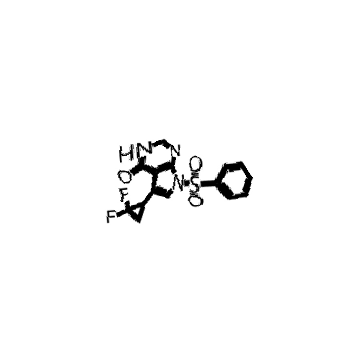 O=c1[nH]cnc2c1c(C1CC1(F)F)cn2S(=O)(=O)c1ccccc1